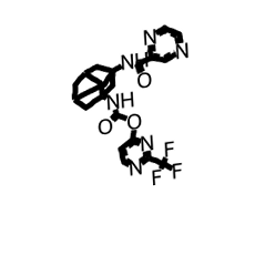 O=C(NC12CC3CC(C1)CC(NC(=O)c1cnccn1)(C3)C2)Oc1ccnc(C(F)(F)F)n1